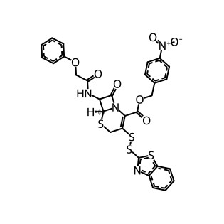 O=C(COc1ccccc1)NC1C(=O)N2C(C(=O)OCc3ccc([N+](=O)[O-])cc3)=C(SSc3nc4ccccc4s3)CS[C@H]12